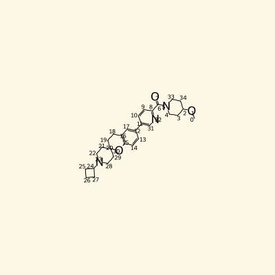 COC1CCN(C(=O)c2ccc(-c3ccc4c(c3)CCC3(CCN(C5CCC5)CC3)O4)cn2)CC1